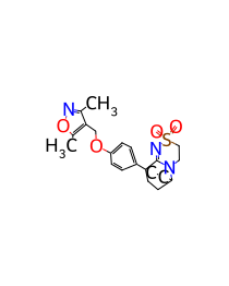 Cc1noc(C)c1COc1ccc(C23CCC(CC2)N2CCS(=O)(=O)N=C23)cc1